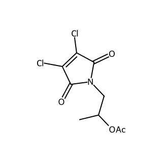 CC(=O)OC(C)CN1C(=O)C(Cl)=C(Cl)C1=O